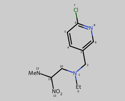 CCN(Cc1ccc(Cl)nc1)CC(NC)[N+](=O)[O-]